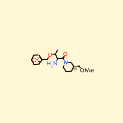 COC[C@H]1CCCN(C(=O)C(N)C(C)OCC23CCC(CC2)OC3)C1